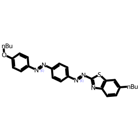 CCCCOc1ccc(/N=N/c2ccc(/N=N/c3nc4ccc(CCCC)cc4s3)cc2)cc1